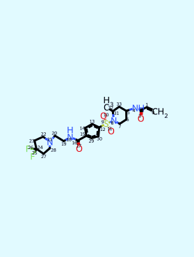 C=CC(=O)NC1CCN(S(=O)(=O)c2ccc(C(=O)NCCN3CCC(F)(F)CC3)cc2)C(C)C1